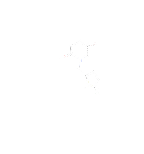 O=c1ccc(Br)cn1Cc1ccc(Cl)s1